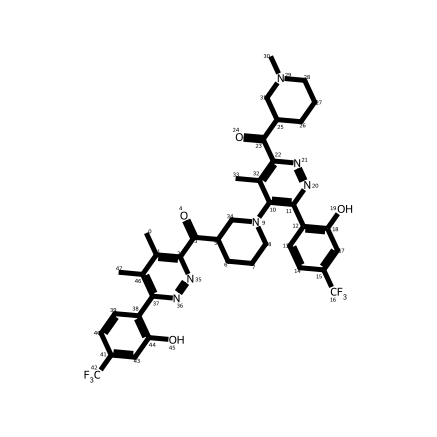 Cc1c(C(=O)C2CCCN(c3c(-c4ccc(C(F)(F)F)cc4O)nnc(C(=O)C4CCCN(C)C4)c3C)C2)nnc(-c2ccc(C(F)(F)F)cc2O)c1C